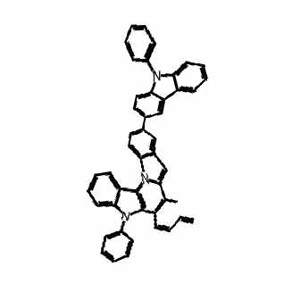 C=C/C=C\c1c(C)c2cc3cc(-c4ccc5c(c4)c4ccccc4n5-c4ccccc4)ccc3n2c2c3ccccc3n(-c3ccccc3)c12